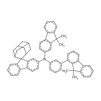 CC1(C)c2ccccc2-c2ccc(N(c3cccc(-c4cccc5c4C(C)(C)c4ccccc4-5)c3)c3ccc4c(c3)C3(c5ccccc5-4)C4CC5CC(C4)CC3C5)cc21